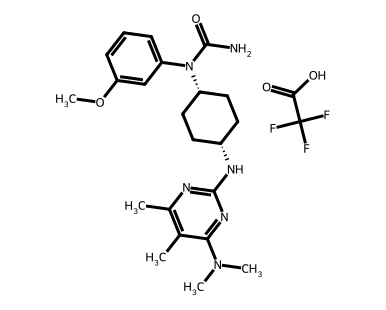 COc1cccc(N(C(N)=O)[C@H]2CC[C@@H](Nc3nc(C)c(C)c(N(C)C)n3)CC2)c1.O=C(O)C(F)(F)F